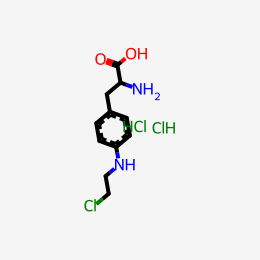 Cl.Cl.NC(Cc1ccc(NCCCl)cc1)C(=O)O